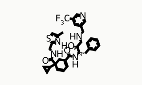 Cc1csc(CNC(=O)C2(C3CC3)C=CC=C(C(=O)N[C@@H](Cc3ccccc3)[C@H](O)CNCc3cncc(C(F)(F)F)c3)C2)n1